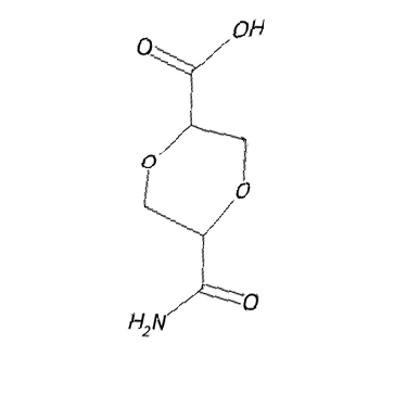 NC(=O)C1COC(C(=O)O)CO1